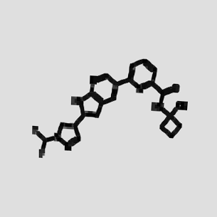 N#CC1(NC(=O)c2cccc(-c3cnc4[nH]c(-c5cnn(C(F)F)c5)cc4c3)n2)CCC1